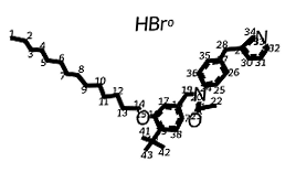 Br.CCCCCCCCCCCCCCOc1cc(CN(C(C)=O)c2ccc(Cc3cccnc3)cc2)ccc1C(C)(C)C